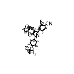 N#Cc1ccc(-c2nn(C3CCC(OC(N)=O)CC3)c(OC3CCOC3)c2Br)cc1F